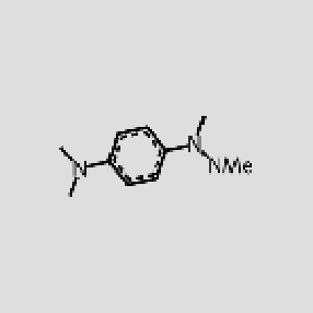 CNN(C)c1ccc(N(C)C)cc1